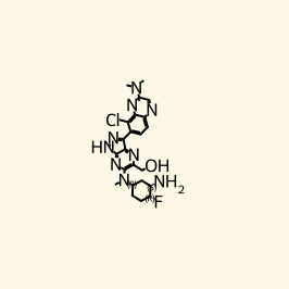 CN(C)c1cnc2ccc(-c3n[nH]c4nc(N(C)[C@@H]5CC[C@@H](F)[C@@H](N)C5)c(CO)nc34)c(Cl)c2n1